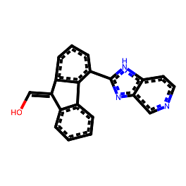 O/C=C1\c2ccccc2-c2c1cccc2-c1nc2cnccc2[nH]1